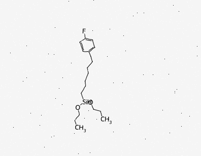 CCCO[SiH](CCCCCCc1ccc(F)cc1)OCCC